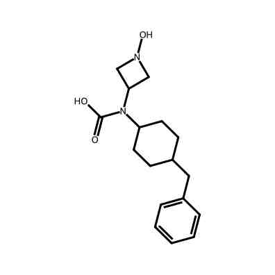 O=C(O)N(C1CCC(Cc2ccccc2)CC1)C1CN(O)C1